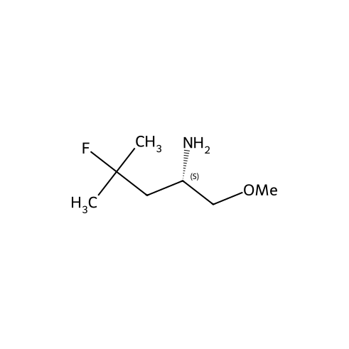 COC[C@@H](N)CC(C)(C)F